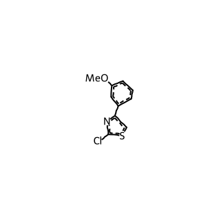 COc1cccc(-c2csc(Cl)n2)c1